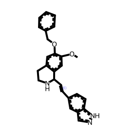 COc1cc2c(cc1OCc1ccccc1)CCNC2/C=C/c1ccc2[nH]ncc2c1